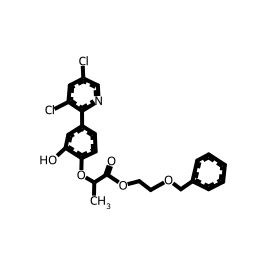 CC(Oc1ccc(-c2ncc(Cl)cc2Cl)cc1O)C(=O)OCCOCc1ccccc1